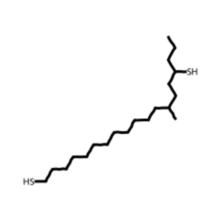 CCCC(S)CCC(C)CCCCCCCCCCCCS